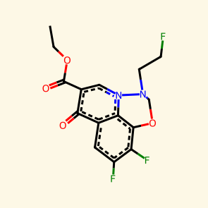 CCOC(=O)c1cn2c3c(c(F)c(F)cc3c1=O)OCN2CCF